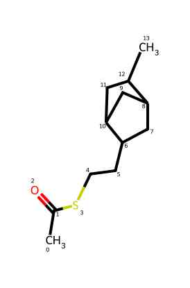 CC(=O)SCCC1CC2CC1CC2C